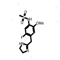 COc1cc(CC2=NCCN2)c(F)cc1NS(C)(=O)=O